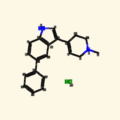 CN1CC=C(c2c[nH]c3ccc(-c4ccccc4)cc23)CC1.Cl